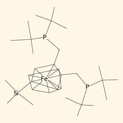 CC(C)(C)P(C[C]12[CH]3[C]4([Si](C)(C)C)[CH]5[C]1(CP(C(C)(C)C)C(C)(C)C)[Fe]35241678[CH]2[CH]1[CH]6[CH]7[CH]28)C(C)(C)C